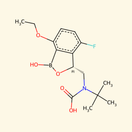 CCOc1ccc(F)c2c1B(O)O[C@H]2CN(C(=O)O)C(C)(C)C